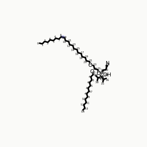 CCCCCCCC/C=C\CCCCCCCCCCCCOCC(CO[PH](O)(CCC#N)N(C(C)C)C(C)C)OCCCCCCCCCCCCCC